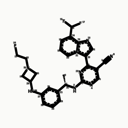 C[C@H](Nc1ncc(C#N)c(-c2cnc3c(C(F)F)cccn23)n1)c1cccc(NC2CN(CCF)C2)c1